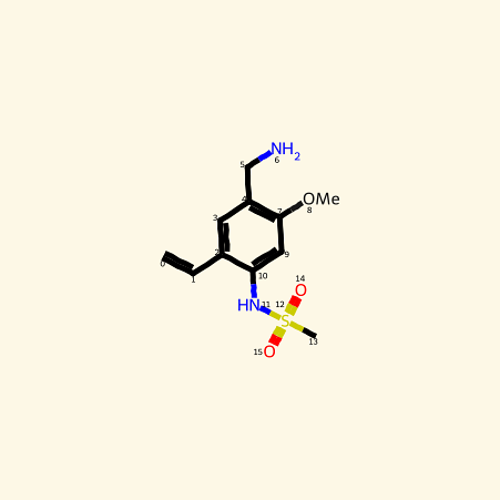 C=Cc1cc(CN)c(OC)cc1NS(C)(=O)=O